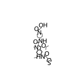 CCc1cc2c(cc1NC(=O)c1ccsc1)c(OC(C)C)c(C(=O)NC1CCN(C(=O)CO)CC1)n2C